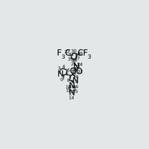 Cc1ncccc1-c1cc(N2CCN(C)CC2)ncc1OC(=O)N(C)Cc1cc(C(F)(F)F)cc(C(F)(F)F)c1